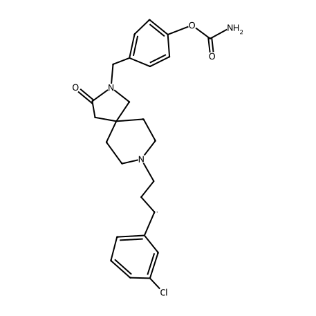 NC(=O)Oc1ccc(CN2CC3(CCN(CC[CH]c4cccc(Cl)c4)CC3)CC2=O)cc1